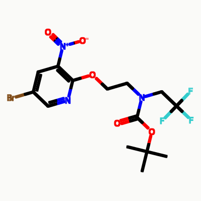 CC(C)(C)OC(=O)N(CCOc1ncc(Br)cc1[N+](=O)[O-])CC(F)(F)F